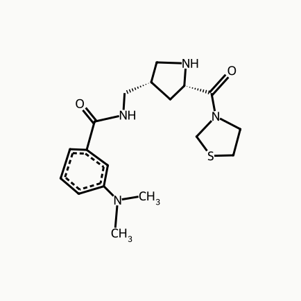 CN(C)c1cccc(C(=O)NC[C@@H]2CN[C@H](C(=O)N3CCSC3)C2)c1